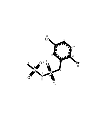 CS(=O)(=O)NS(=O)(=O)Cc1cc(Br)cnc1Br